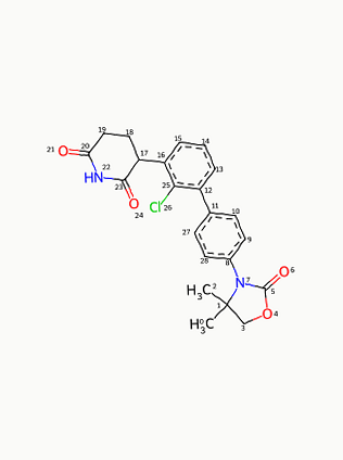 CC1(C)COC(=O)N1c1ccc(-c2cccc(C3CCC(=O)NC3=O)c2Cl)cc1